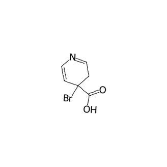 O=C(O)C1(Br)C=CN=CC1